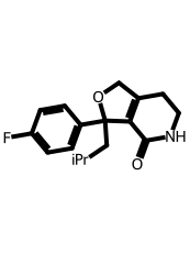 CC(C)CC1(c2ccc(F)cc2)OCC2=C1C(=O)NCC2